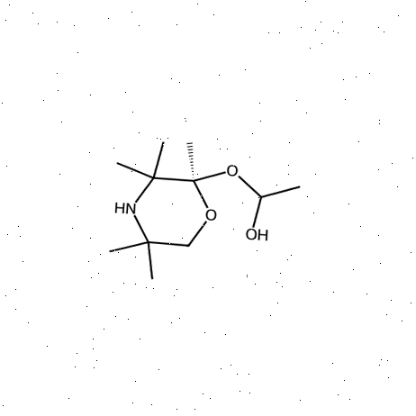 CC(O)O[C@@]1(C)OCC(C)(C)NC1(C)C